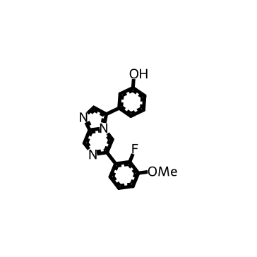 COc1cccc(-c2cn3c(-c4cccc(O)c4)cnc3cn2)c1F